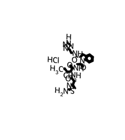 CCC(C)C(NC(=O)Cc1csc(N)n1)C(=O)NCC(=O)N1c2ccccc2C[C@H]1C(=O)NCc1nn[nH]n1.Cl